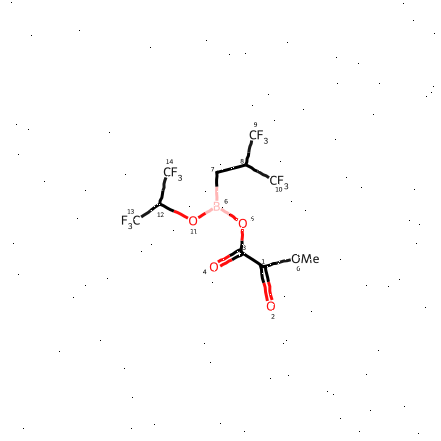 COC(=O)C(=O)OB(CC(C(F)(F)F)C(F)(F)F)OC(C(F)(F)F)C(F)(F)F